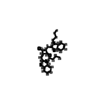 CCCCN1/C(=C/C2=C([O-])C(=C/c3sc4ccccc4[n+]3CCCC)/C2=O)Sc2ccccc21